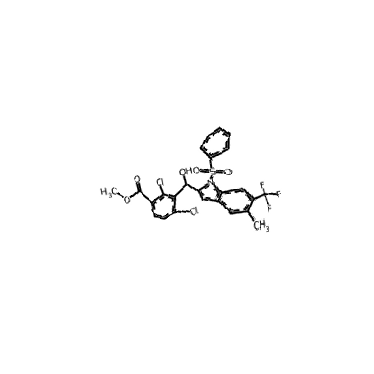 COC(=O)c1ccc(Cl)c(C(O)c2cc3cc(C)c(C(F)(F)F)cc3n2S(=O)(=O)c2ccccc2)c1Cl